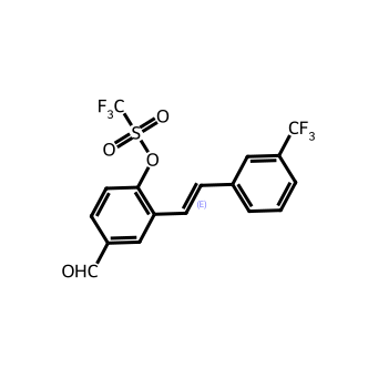 O=Cc1ccc(OS(=O)(=O)C(F)(F)F)c(/C=C/c2cccc(C(F)(F)F)c2)c1